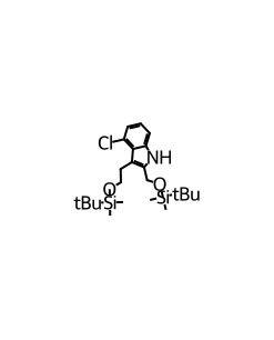 CC(C)(C)[Si](C)(C)OCCc1c(CO[Si](C)(C)C(C)(C)C)[nH]c2cccc(Cl)c12